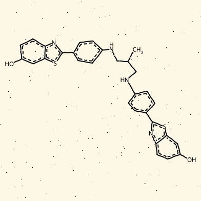 CC(CNc1ccc(-c2nc3ccc(O)cc3s2)cc1)CNc1ccc(-c2nc3ccc(O)cc3s2)cc1